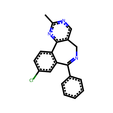 Cc1ncc2c(n1)-c1ccc(Cl)cc1C(c1ccccc1)=NC2